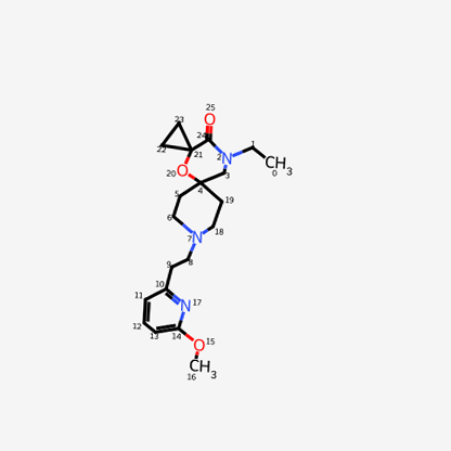 CCN1CC2(CCN(CCc3cccc(OC)n3)CC2)OC2(CC2)C1=O